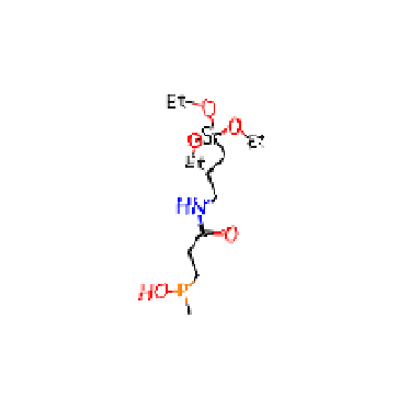 CCO[Si](CCCNC(=O)CCP(C)O)(OCC)OCC